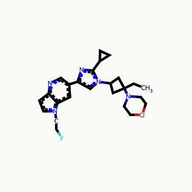 CCC1(N2CCOCC2)CC(n2cc(-c3cnc4ccn(CCF)c4c3)nc2C2CC2)C1